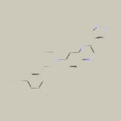 CCC(O)CN(CCc1cc(OC)cc(OC)c1)c1ccc2ncc(-c3cnn(C)c3)nc2c1